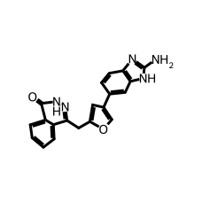 Nc1nc2ccc(-c3coc(Cc4n[nH]c(=O)c5ccccc45)c3)cc2[nH]1